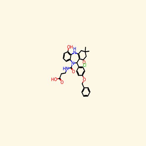 CC1(C)CC(=O)C2=C(C1)Nc1c(O)cccc1N(C(=O)NCCC(=O)O)C2c1ccc(OCc2ccccc2)cc1Cl